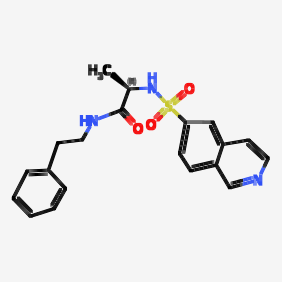 C[C@@H](NS(=O)(=O)c1ccc2cnccc2c1)C(=O)NCCc1ccccc1